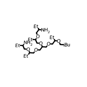 CCC(C)COC(CC)COCC(COCC(CC)OCC(N)CC)OCC(CC)OCC(N)CC